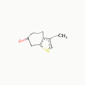 Cc1csc2c1CCC(=O)C2